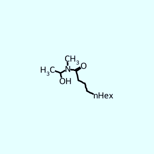 CCCCCCCCCC(=O)N(C)C(C)O